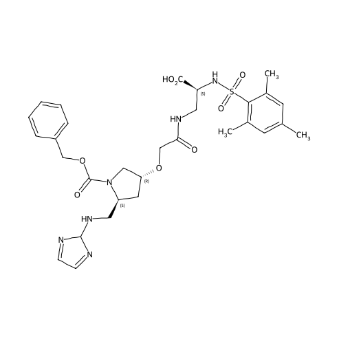 Cc1cc(C)c(S(=O)(=O)N[C@@H](CNC(=O)CO[C@@H]2C[C@@H](CNC3N=CC=N3)N(C(=O)OCc3ccccc3)C2)C(=O)O)c(C)c1